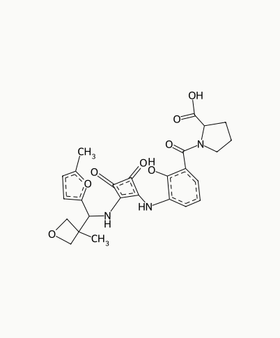 Cc1ccc(C(Nc2c(Nc3cccc(C(=O)N4CCCC4C(=O)O)c3O)c(=O)c2=O)C2(C)COC2)o1